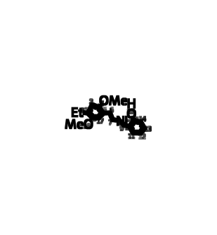 CCc1cc(OC)c(CCNCc2ccccc2O)cc1OC